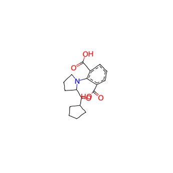 O=C(O)c1cccc(C(=O)O)c1N1CCCC1C(=O)C1CCCC1